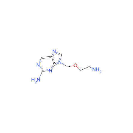 NCCOCn1cnc2cnc(N)nc21